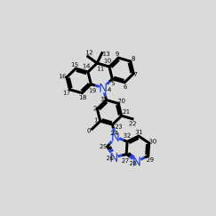 Cc1cc(N2c3ccccc3C(C)(C)c3ccccc32)cc(C)c1-n1cnc2ncccc21